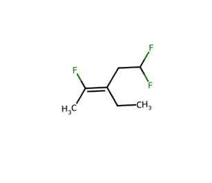 CC/C(CC(F)F)=C(\C)F